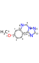 COc1ccc2c(c1)ncn1ncnc21